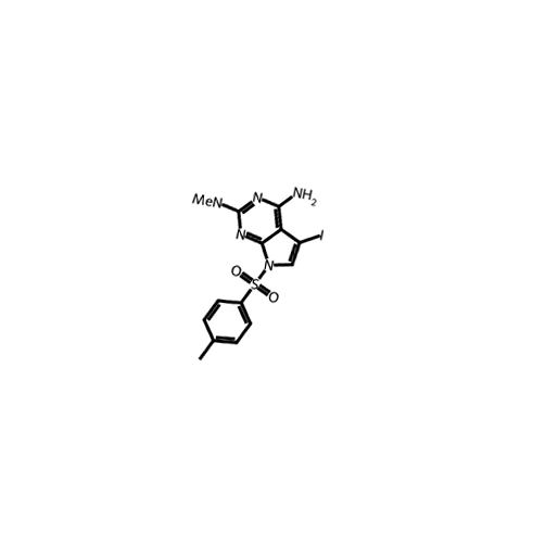 CNc1nc(N)c2c(I)cn(S(=O)(=O)c3ccc(C)cc3)c2n1